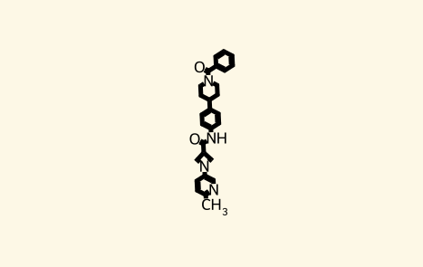 Cc1ccc(N2CC(C(=O)Nc3ccc(C4CCN(C(=O)c5ccccc5)CC4)cc3)C2)cn1